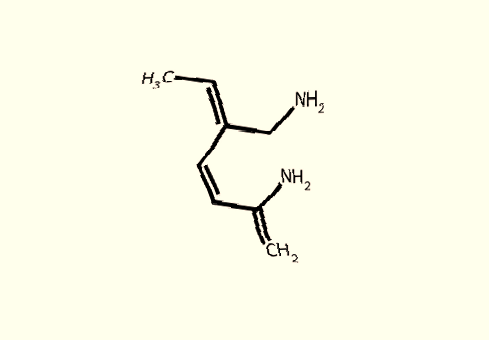 C=C(N)/C=C\C(=C/C)CN